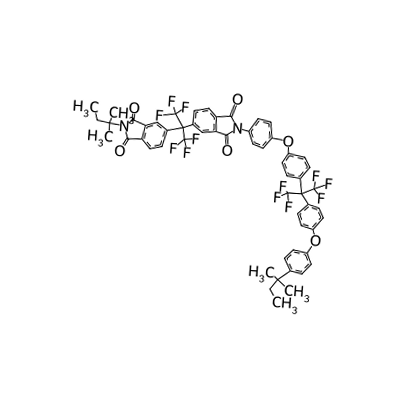 CCC(C)(C)c1ccc(Oc2ccc(C(c3ccc(Oc4ccc(N5C(=O)c6ccc(C(c7ccc8c(c7)C(=O)N(C(C)(C)CC)C8=O)(C(F)(F)F)C(F)(F)F)cc6C5=O)cc4)cc3)(C(F)(F)F)C(F)(F)F)cc2)cc1